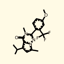 COc1ccc(-c2nn3c(C)cc(C(C)C)c3c(=O)n2C)c(C(F)(F)F)c1